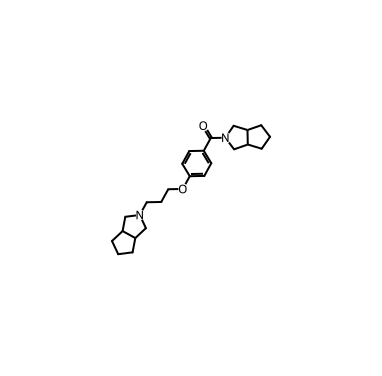 O=C(c1ccc(OCCCN2CC3CCCC3C2)cc1)N1CC2CCCC2C1